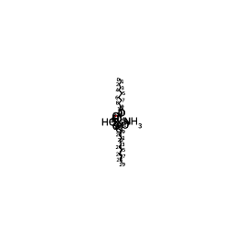 CCCCCCCCCCCOC(=O)CC(C(=O)OCCCCCCCCCCC)S(=O)(=O)O.N